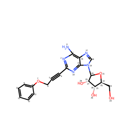 Nc1nc(C#CCOc2ccccc2)nc2c1ncn2C1O[C@@H](CO)[C@H](O)[C@@H]1O